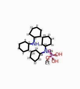 C1CCC(NC2CCCCC2)CC1.C1CCC(NC2CCCCC2)CC1.CCOP(=O)(O)O